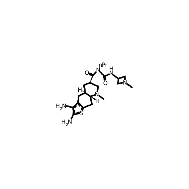 CCCN(C(=O)NC1CN(C)C1)C(=O)[C@@H]1C[C@@H]2Cc3c(sc(N)c3N)C[C@H]2N(C)C1